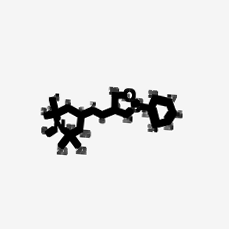 CN1C(C)(C)CC(CCC2COB(c3ccccc3)C2)CC1(C)C